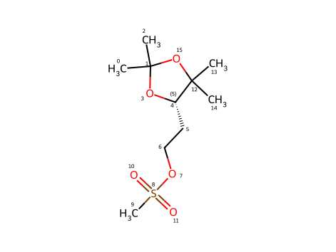 CC1(C)O[C@@H](CCOS(C)(=O)=O)C(C)(C)O1